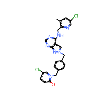 Cc1cc(Cl)cnc1CNc1ncnc2nn(Cc3ccc(Cn4cc(Cl)ccc4=O)cc3)cc12